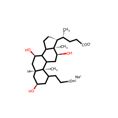 CCCCCCCCCCCCC1C[C@@H](O)C[C@H]2C[C@@H](O)C3C(C[C@H](O)[C@@]4(C)C3CC[C@@H]4[C@H](C)CCC(=O)[O-])[C@@]12C.[Na+]